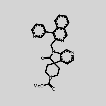 COC(=O)N1CCC2(CC1)C(=O)N(Cc1ncc3ccccc3c1-c1cccnc1)c1cnccc12